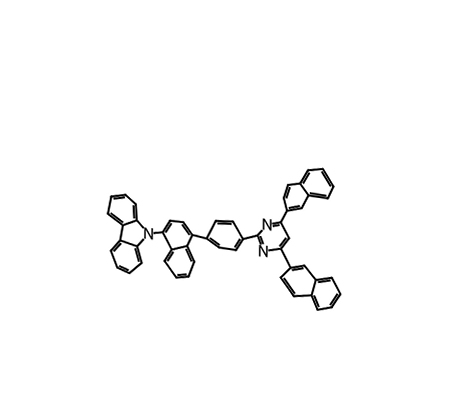 c1ccc2cc(-c3cc(-c4ccc5ccccc5c4)nc(-c4ccc(-c5ccc(-n6c7ccccc7c7ccccc76)c6ccccc56)cc4)n3)ccc2c1